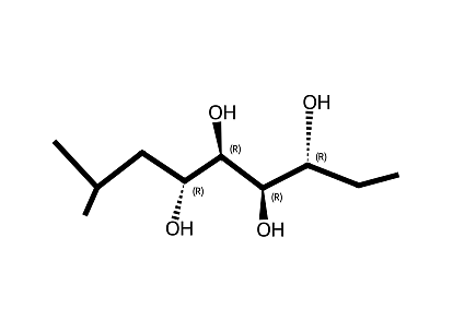 CC[C@@H](O)[C@@H](O)[C@H](O)[C@H](O)CC(C)C